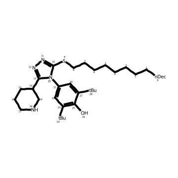 CCCCCCCCCCCCCCCCCCSc1nnc(C2CCCNC2)n1-c1cc(C(C)(C)C)c(O)c(C(C)(C)C)c1